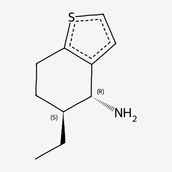 CC[C@H]1CCc2sccc2[C@@H]1N